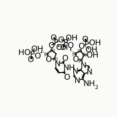 Nc1ncnc2c1ncn2[C@@H]1O[C@H](COP(=O)(O)OP(=O)(O)O[C@H]2C[C@H](n3ccc(=O)[nH]c3=O)O[C@@H]2COP(=O)(O)O)[C@@H](OP(=O)(O)O)[C@H]1O